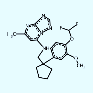 COc1cc(C2(CNc3cc(C)nc4ncnn34)CCCC2)ccc1OC(F)F